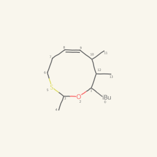 CCC(C)C1OC(C)SCC/C=C\C(C)C1C